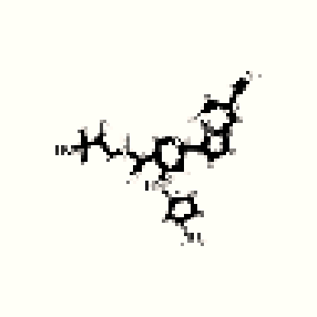 CC(C)(O)C(F)CNC(=O)c1cnc(-c2ccc3cc(C#N)cnn23)cc1N[C@H]1CC[C@@H](N)C1